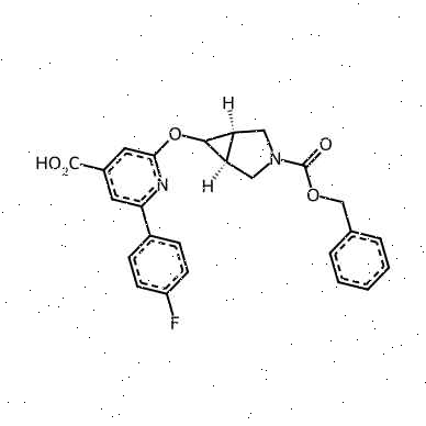 O=C(O)c1cc(OC2[C@H]3CN(C(=O)OCc4ccccc4)C[C@@H]23)nc(-c2ccc(F)cc2)c1